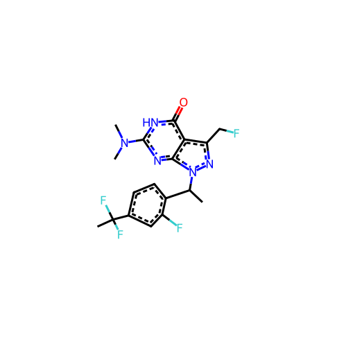 CC(c1ccc(C(C)(F)F)cc1F)n1nc(CF)c2c(=O)[nH]c(N(C)C)nc21